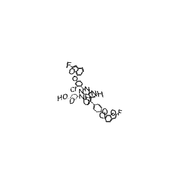 O=C(C1=CCC(Cl)(Oc2cccc3cc(F)oc23)C=C1)c1c[nH]c2nc(-c3ccc(Oc4cccc5cc(F)oc45)cc3Cl)nc(N[C@@H]3CC[C@@H](CO)OC3)c12